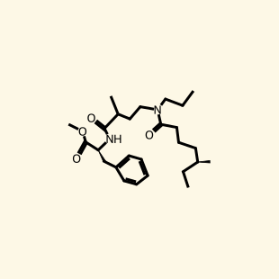 CCCN(CCC(C)C(=O)N[C@@H](Cc1ccccc1)C(=O)OC)C(=O)CCC[C@@H](C)CC